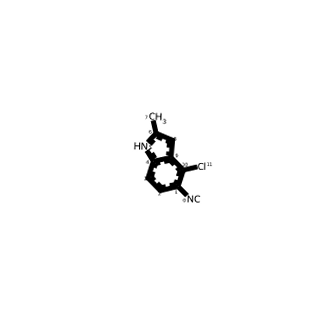 [C-]#[N+]c1ccc2[nH]c(C)cc2c1Cl